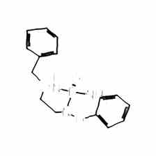 C[C@@H](CN(Oc1ccccc1)P(N)(N)=O)OCc1ccccc1